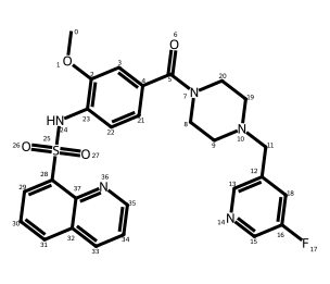 COc1cc(C(=O)N2CCN(Cc3cncc(F)c3)CC2)ccc1NS(=O)(=O)c1cccc2cccnc12